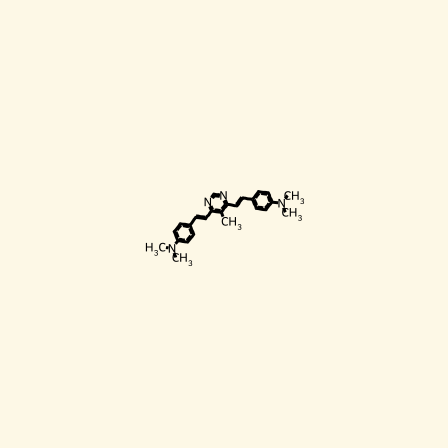 Cc1c(/C=C/c2ccc(N(C)C)cc2)ncnc1/C=C/c1ccc(N(C)C)cc1